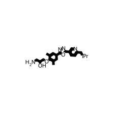 CC1=CC(c2nnc(-c3ccc(CC(C)C)nc3)o2)CC(C)=C1OCC(O)CN